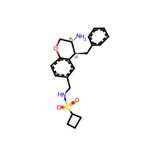 N[C@H]1COc2ccc(CNS(=O)(=O)C3CCC3)cc2[C@@H]1Cc1ccccc1